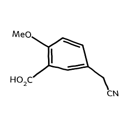 COc1ccc(CC#N)cc1C(=O)O